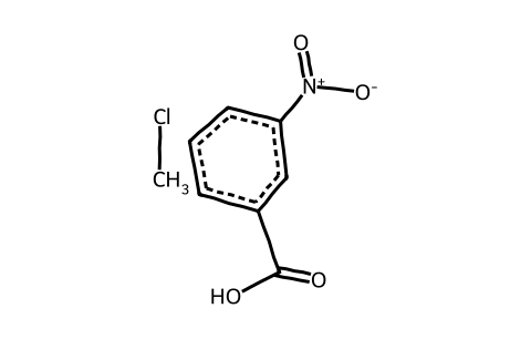 CCl.O=C(O)c1cccc([N+](=O)[O-])c1